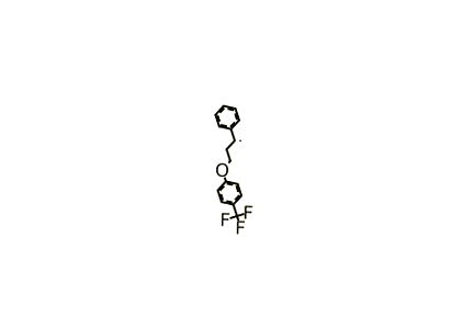 FC(F)(F)c1ccc(OCC[CH]c2ccccc2)cc1